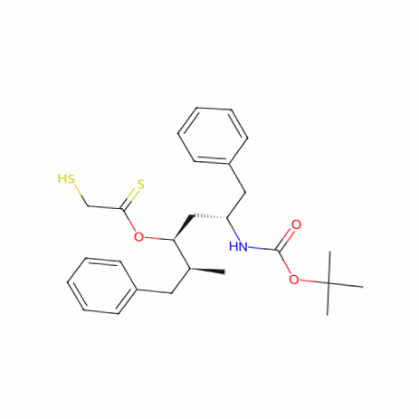 C[C@@H](Cc1ccccc1)[C@H](C[C@H](Cc1ccccc1)NC(=O)OC(C)(C)C)OC(=S)CS